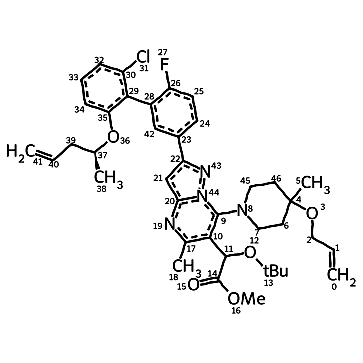 C=CCOC1(C)CCN(c2c(C(OC(C)(C)C)C(=O)OC)c(C)nc3cc(-c4ccc(F)c(-c5c(Cl)cccc5O[C@@H](C)CC=C)c4)nn23)CC1